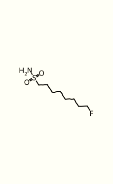 NS(=O)(=O)CCCCCCCCF